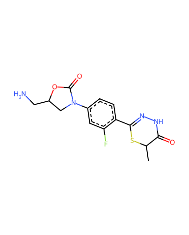 CC1SC(c2ccc(N3CC(CN)OC3=O)cc2F)=NNC1=O